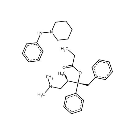 CCC(=O)O[C@](Cc1ccccc1)(c1ccccc1)[C@H](C)CN(C)C.c1ccc(NN2CCCCC2)cc1